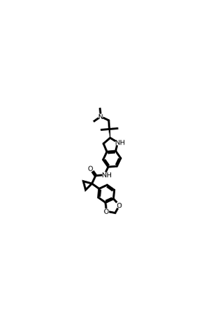 CN(C)CC(C)(C)[C@@H]1Cc2cc(NC(=O)C3(c4ccc5c(c4)OCO5)CC3)ccc2N1